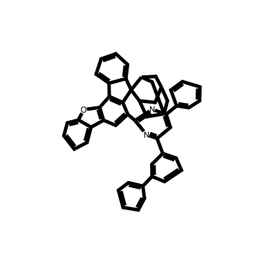 c1ccc(-c2cccc(-c3cc(-c4ccccc4)nc(-c4cc5c(oc6ccccc65)c5c4C4(c6ccccc6-5)C5CC6CC(C5)CC4C6)n3)c2)cc1